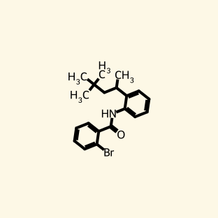 CC(CC(C)(C)C)c1ccccc1NC(=O)c1ccccc1Br